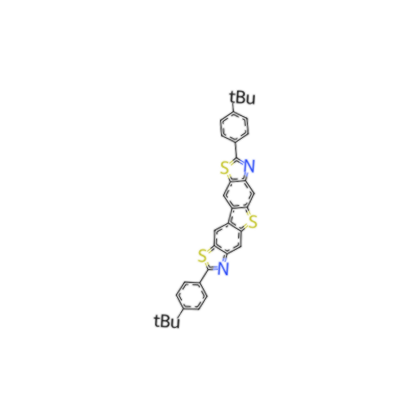 CC(C)(C)c1ccc(-c2nc3cc4sc5cc6nc(-c7ccc(C(C)(C)C)cc7)sc6cc5c4cc3s2)cc1